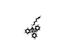 C#CCCCCC[C@H]1C(c2ccccc2)[C@@]1(c1ccccc1)S(=O)(=O)c1ccccc1